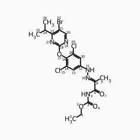 CCOC(=O)NC(=O)/C(C)=N/Nc1cc(Cl)c(Oc2ncc(Br)c(C(C)C)n2)c(Cl)c1